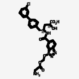 NCC(=O)OCOn1nnc2ccc(C(=O)N[C@H](Cc3ccc(-c4cccc(Cl)c4)cc3)C[C@@H](O)C(=O)O)cc21